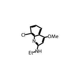 CCNc1cc(OC)c2cccc(Cl)c2n1